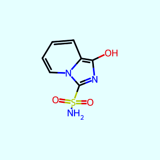 NS(=O)(=O)c1nc(O)c2ccccn12